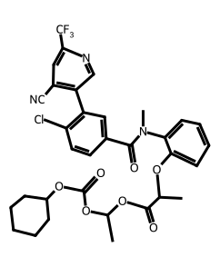 CC(OC(=O)OC1CCCCC1)OC(=O)C(C)Oc1ccccc1N(C)C(=O)c1ccc(Cl)c(-c2cnc(C(F)(F)F)cc2C#N)c1